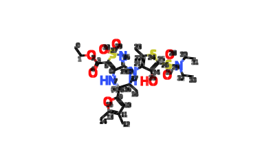 CCOC(=O)C1=C(N[C@@H](c2cc(C)c(C)o2)C(C)C)C(Nc2c(C)sc(S(=O)(=O)N(CC)CC)c2O)=NS1(=O)=O